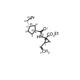 C=CC1C[C@]1(NC(=O)[C@H]1CC[C@H](CC(C)C)C1)C(=O)OCC